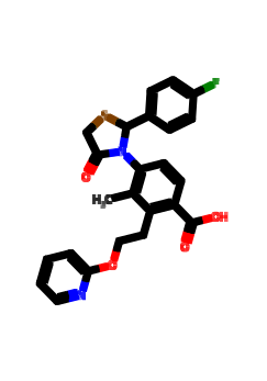 Cc1c(N2C(=O)CSC2c2ccc(F)cc2)ccc(C(=O)O)c1CCOc1ccccn1